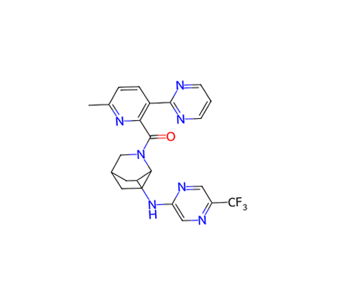 Cc1ccc(-c2ncccn2)c(C(=O)N2CC3CCC2C(Nc2cnc(C(F)(F)F)cn2)C3)n1